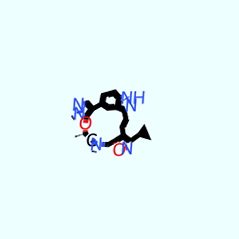 C[C@H]1CN(C)Cc2onc(C3CC3)c2/C=C/c2n[nH]c3ccc(cc23)-c2cnn(C)c2O1